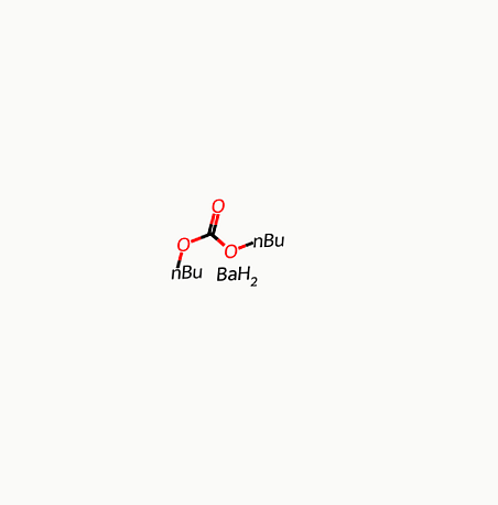 CCCCOC(=O)OCCCC.[BaH2]